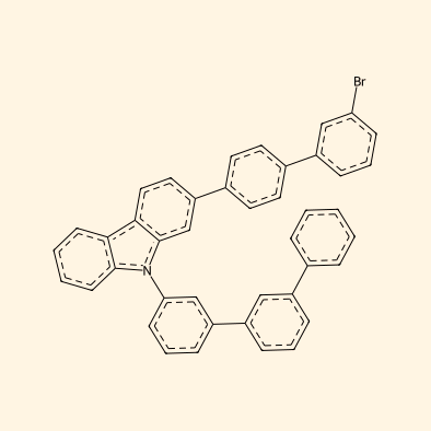 Brc1cccc(-c2ccc(-c3ccc4c5ccccc5n(-c5cccc(-c6cccc(-c7ccccc7)c6)c5)c4c3)cc2)c1